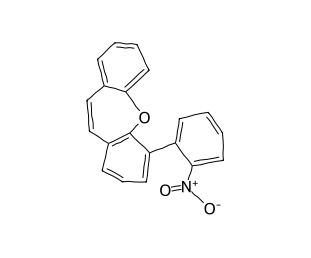 O=[N+]([O-])c1ccccc1-c1cccc2c1Oc1ccccc1C=C2